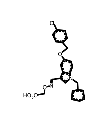 O=C(O)CO/N=C/c1cn(Cc2ccccc2)c2ccc(OCc3ccc(Cl)cc3)cc12